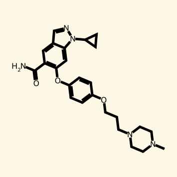 CN1CCN(CCCOc2ccc(Oc3cc4c(cnn4C4CC4)cc3C(N)=O)cc2)CC1